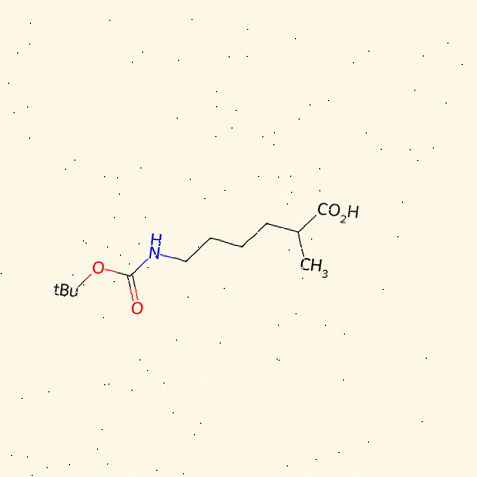 CC(CCCCNC(=O)OC(C)(C)C)C(=O)O